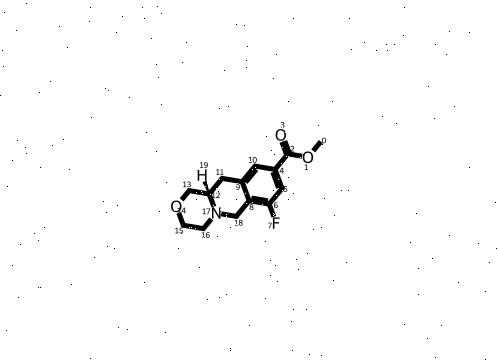 COC(=O)c1cc(F)c2c(c1)C[C@H]1COCCN1C2